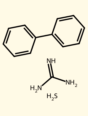 N=C(N)N.S.c1ccc(-c2ccccc2)cc1